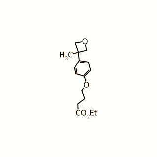 CCOC(=O)CCCOc1ccc(C2(C)COC2)cc1